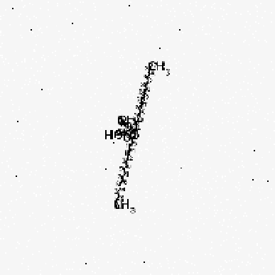 CCCCCCCCCCCCCCCCCC(=O)OC(CCCCCCCCCCCCCCCCC)N(CCO)CCO